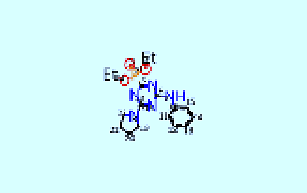 CCOP(=O)(OCC)c1nc(Nc2ccccc2)nc(N2CCCC2)n1